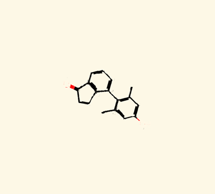 Cc1cc(O)cc(C)c1-c1cccc2c1CCC2=O